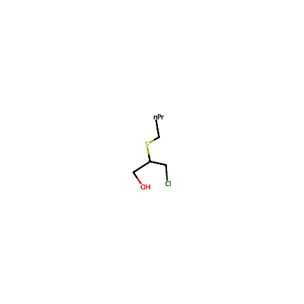 CCCCSC(CO)CCl